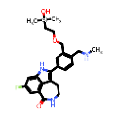 CNCc1ccc(-c2[nH]c3cc(F)cc4c3c2CCNC4=O)cc1COCC[Si](C)(C)O